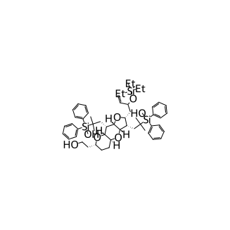 C=CC(C[C@H]1O[C@H]2[C@@H](CC(C)(C)[Si](O)(c3ccccc3)c3ccccc3)[C@H]3O[C@@H](CCO)CC[C@@H]3O[C@H]2[C@H]1CC(C)(C)[Si](O)(c1ccccc1)c1ccccc1)O[Si](CC)(CC)CC